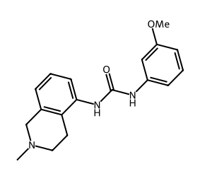 COc1cccc(NC(=O)Nc2cccc3c2CCN(C)C3)c1